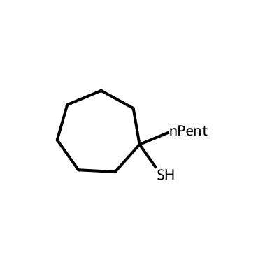 CCCCCC1(S)CCCCCC1